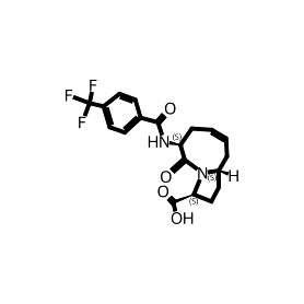 O=C(N[C@H]1CC=CC[C@@H]2CC[C@@H](C(=O)O)N2C1=O)c1ccc(C(F)(F)F)cc1